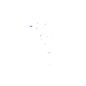 CCC(C)(C)CC1C2C(=O)C=C3[C@@]4(C)C=C(C#N)C(=O)C(C)(C)[C@@H]4CC[C@@]3(C)[C@]2(C)CC[C@]1(C)CCC(=O)OC1CCNCC1